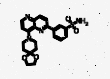 NS(=O)(=O)c1cccc(-c2ccc3nccc(N4CCC5(CC4)OCCO5)c3n2)c1